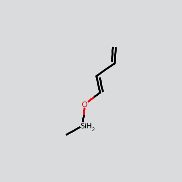 C=CC=CO[SiH2]C